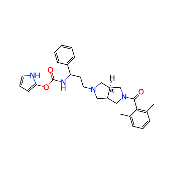 Cc1cccc(C)c1C(=O)N1CC2CN(CCC(NC(=O)Oc3ccc[nH]3)c3ccccc3)C[C@H]2C1